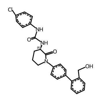 O=C(Nc1ccc(Cl)cc1)N[C@@H]1CCCN(c2ccc(-c3ccccc3CO)cc2)C1=O